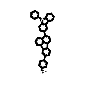 CC(C)c1ccc(-c2ccc3c(c2)-c2cccc4c(-c5ccc6c(c5)c5ccccc5n6-c5ccccc5)ccc-3c24)cc1